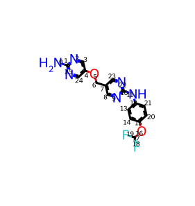 Nc1ncc(OCc2cnc(Nc3ccc(OC(F)F)cc3)nc2)cn1